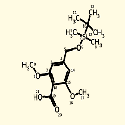 COc1cc(CO[Si](C)(C)C(C)(C)C)cc(OC)c1C(=O)O